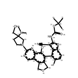 CN(C)C1(CO)CCN(c2ncc3c4c(c(-c5c(F)ccc6sc(NC(=O)OC(C)(C)C)c(C#N)c56)c(Cl)c3n2)COC4)C1